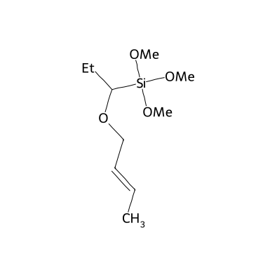 CC=CCOC(CC)[Si](OC)(OC)OC